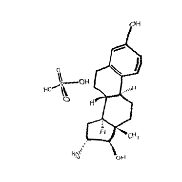 C[C@]12CC[C@@H]3c4ccc(O)cc4CC[C@H]3[C@@H]1C[C@@H](O)[C@@H]2O.O=S(=O)(O)O